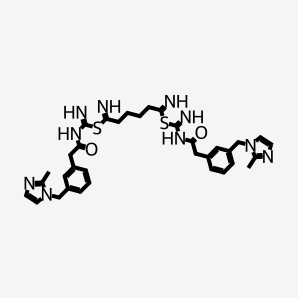 Cc1nccn1Cc1cccc(CC(=O)NC(=N)SC(=N)CCCCC(=N)SC(=N)NC(=O)Cc2cccc(Cn3ccnc3C)c2)c1